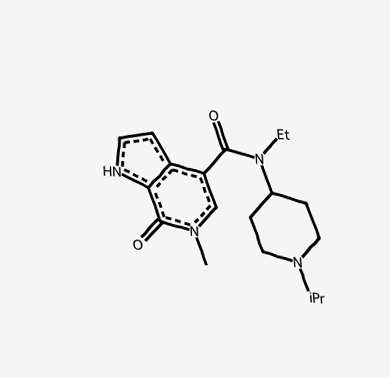 CCN(C(=O)c1cn(C)c(=O)c2[nH]ccc12)C1CCN(C(C)C)CC1